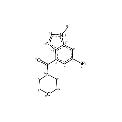 CC(C)c1cc(C(=O)N2CCOCC2)c2ncn(C)c2c1